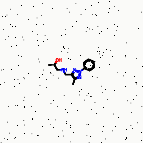 Cc1nn(-c2ccccc2)nc1CNC[C@@H](C)O